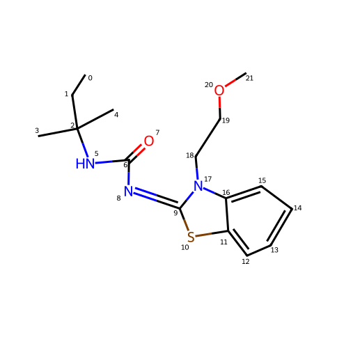 CCC(C)(C)NC(=O)N=c1sc2ccccc2n1CCOC